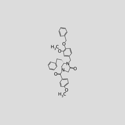 COc1ccc(C(=O)N2CC(=O)N(Cc3ccc(OCc4ccccc4)c(OC)c3)[C@@H](CCc3ccccc3)C2)cc1